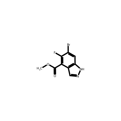 COC(=O)c1c(F)c(Br)cc2[nH]ncc12